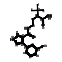 CC(C)(C)N(CCNC(=O)c1n[nH]cc1-c1cccc(F)c1)C(=O)O